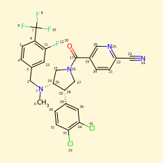 CN(Cc1ccc(C(F)(F)F)c(F)c1)[C@@H]1CN(C(=O)c2ccc(C#N)nc2)C[C@@H]1c1ccc(Cl)c(Cl)c1